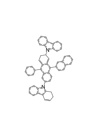 C1=Cc2c(n(-c3ccc4c(-c5ccc6ccccc6c5)c5c(c(-c6ccccc6)c4c3)=CCC(n3c4ccccc4c4ccccc43)C=5)c3ccccc23)CC1